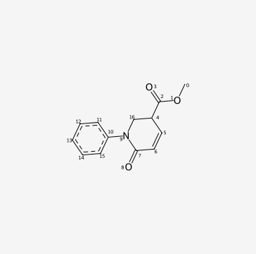 COC(=O)C1C=CC(=O)N(c2ccccc2)C1